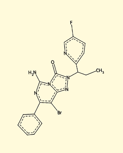 CCC(c1ccc(F)cn1)n1nc2c(Br)c(-c3ccccc3)nc(N)n2c1=O